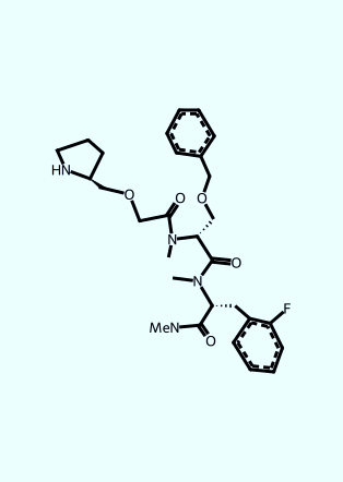 CNC(=O)[C@@H](Cc1ccccc1F)N(C)C(=O)[C@@H](COCc1ccccc1)N(C)C(=O)COC[C@@H]1CCCN1